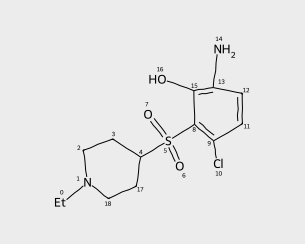 CCN1CCC(S(=O)(=O)c2c(Cl)ccc(N)c2O)CC1